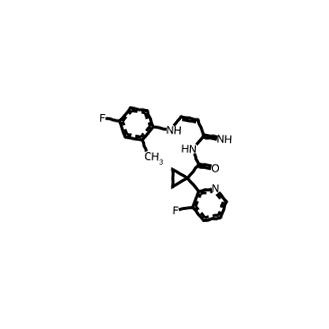 Cc1cc(F)ccc1N/C=C\C(=N)NC(=O)C1(c2ncccc2F)CC1